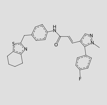 Cn1ncc(/C=C/C(=O)Nc2ccc(Cc3nc4c(s3)CCCC4)cc2)c1-c1ccc(F)cc1